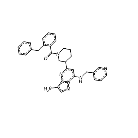 Bc1cnn2c(NCc3cccnc3)cc(C3CCCN(C(=O)c4ccccc4Cc4ccccc4)C3)nc12